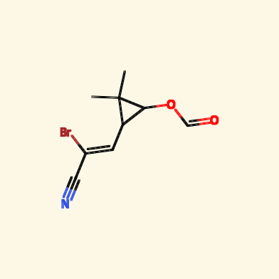 CC1(C)C(C=C(Br)C#N)C1OC=O